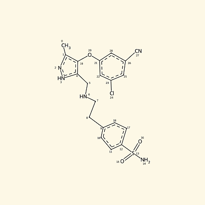 Cc1n[nH]c(CNCCc2ccc(S(N)(=O)=O)cc2)c1Oc1cc(Cl)cc(C#N)c1